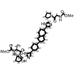 COC(=O)NCC(=O)N1CCC[C@H]1c1ncc(-c2ccc3cc(-c4ccc(-c5cnc([C@@H]6[C@H]7CC[C@H](C7)N6C(=O)[C@@H](NC(=O)OC)C(C)C)[nH]5)cc4)ccc3c2)[nH]1